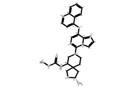 C[C@H]1CC2(CCN(c3ncc(Sc4ccnc5ccccc45)c4nccn34)CC2NC(=O)OC(C)(C)C)CO1